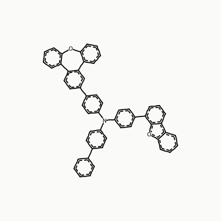 c1ccc(-c2ccc(N(c3ccc(-c4ccc5c(c4)-c4ccccc4Oc4ccccc4-5)cc3)c3ccc(-c4cccc5c4oc4ccccc45)cc3)cc2)cc1